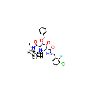 CCN1C(=O)c2c(OCc3ccccc3)c(=O)c(C(=O)NCc3cccc(Cl)c3F)cn2[C@H]2[C@@H]3CC[C@@H](C3)[C@H]21